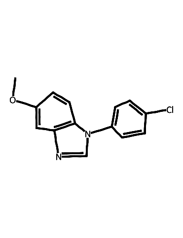 COc1ccc2c(c1)ncn2-c1ccc(Cl)cc1